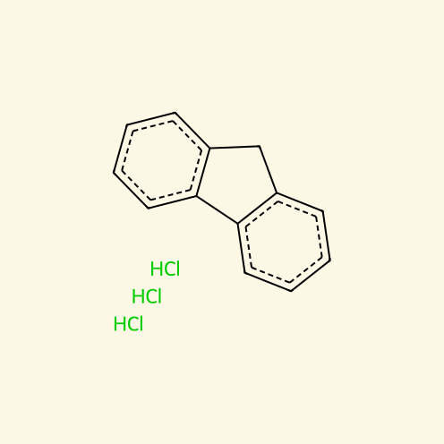 Cl.Cl.Cl.c1ccc2c(c1)Cc1ccccc1-2